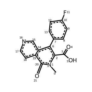 Cn1c(C(=O)O)c(-c2ccc(F)cc2)c2cnccc2c1=O